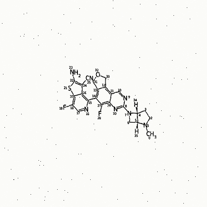 CN1CC[C@@H]2[C@H]1CN2c1ncc2c3c(c(-c4ncc(F)c5sc(N)c(C#N)c45)c(F)c2n1)COC3